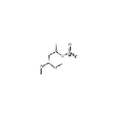 COC(CN(C)O[SH](=O)=O)OC